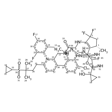 C[C@H]1CC(F)(F)C(NCC(=O)N[C@@H](Cc2cc(F)cc(F)c2)c2nc(CCC(C)(C)S(=O)(=O)C3CC3)ccc2-c2ccc(Cl)c3c(NC(=N)OC(=N)C4(O)CC4)nn(C)c23)=C1C(=N)C(F)F